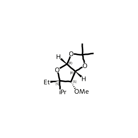 CC[C@@]1(C(C)C)O[C@@H]2OC(C)(C)O[C@@H]2[C@@H]1OC